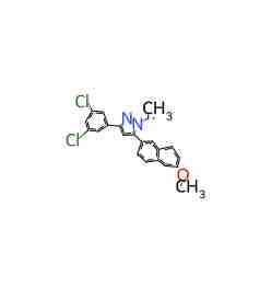 C[CH]n1nc(-c2cc(Cl)cc(Cl)c2)cc1-c1ccc2cc(OC)ccc2c1